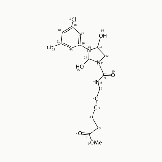 COC(=O)CCCCCNC(=O)N1CC(O)N(c2cc(Cl)cc(Cl)c2)C1O